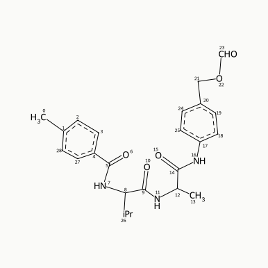 Cc1ccc(C(=O)NC(C(=O)NC(C)C(=O)Nc2ccc(COC=O)cc2)C(C)C)cc1